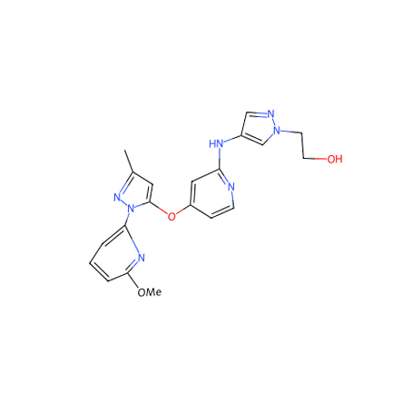 COc1cccc(-n2nc(C)cc2Oc2ccnc(Nc3cnn(CCO)c3)c2)n1